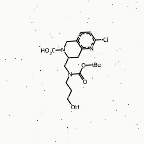 CC(C)(C)OC(=O)N(CCCO)CC1Cc2nc(Cl)ccc2CN1C(=O)O